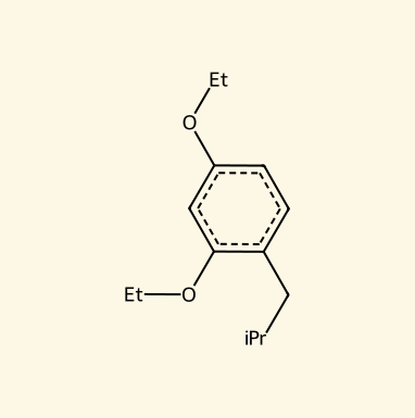 CCOc1ccc(CC(C)C)c(OCC)c1